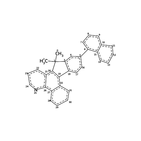 CC1(C)c2cc(-c3cccc4ccccc34)ccc2-c2c1c1cccnc1c1ccccc21